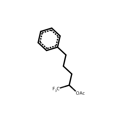 CC(=O)OC(CCCc1ccccc1)C(F)(F)F